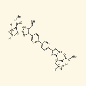 CC(C)(C)OC(=O)N1[C@@H]2C[C@@H]2C[C@H]1c1nc(-c2ccc(-c3ccc(-c4nc([C@@H]5C[C@H]6C[C@H]6N5C(=O)OC(C)(C)C)[nH]c4C=N)cc3)cc2)c[nH]1